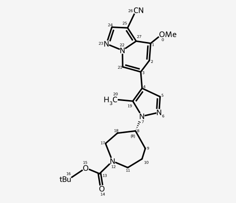 COc1cc(-c2cnn([C@@H]3CCCN(C(=O)OC(C)(C)C)CC3)c2C)cn2ncc(C#N)c12